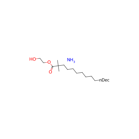 CCCCCCCCCCCCCCCCCCC(C)(C)C(=O)OCCO.N